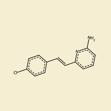 Nc1cccc(C=Cc2ccc(Cl)cc2)n1